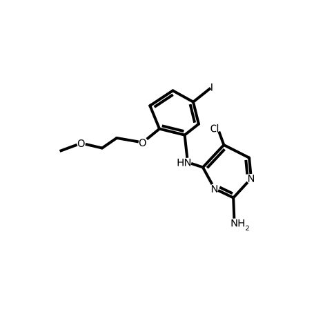 COCCOc1ccc(I)cc1Nc1nc(N)ncc1Cl